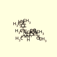 C\C=C/N=C(Nc1ccc(C(=O)N(C)CCOC)c(C)c1)\C(C)=N\C=C(/C)c1ccc(NC)c(C)c1